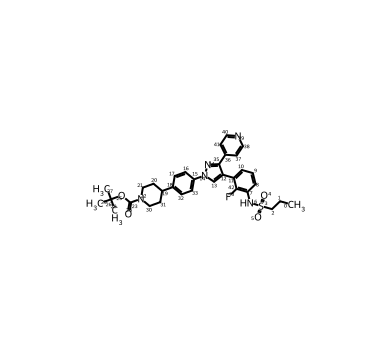 CCCS(=O)(=O)Nc1cccc(-c2cn(-c3ccc(C4CCN(C(=O)OC(C)(C)C)CC4)cc3)nc2-c2ccncc2)c1F